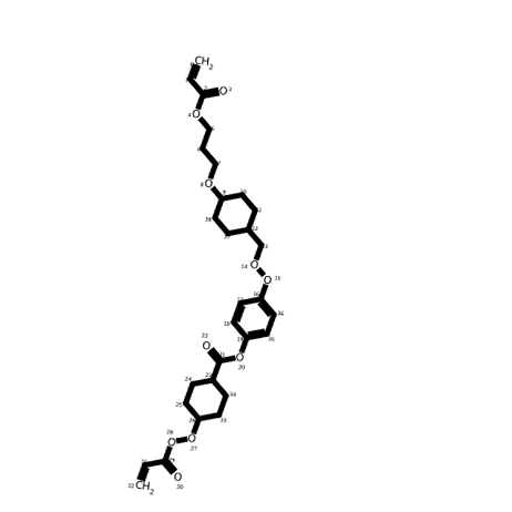 C=CC(=O)OCCCOC1CCC(COOc2ccc(OC(=O)C3CCC(OOC(=O)C=C)CC3)cc2)CC1